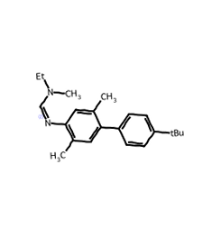 CCN(C)/C=N\c1cc(C)c(-c2ccc(C(C)(C)C)cc2)cc1C